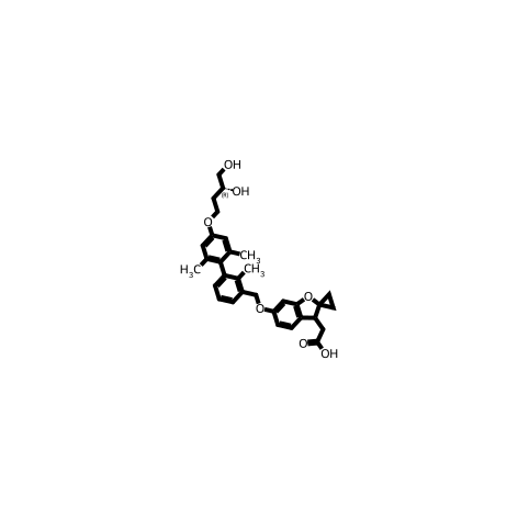 Cc1cc(OCC[C@@H](O)CO)cc(C)c1-c1cccc(COc2ccc3c(c2)OC2(CC2)C3CC(=O)O)c1C